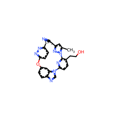 Cc1ccc(Oc2ccc3ncn(-c4ccc(CCO)c(-n5nc(C#N)cc5C)n4)c3c2)nn1